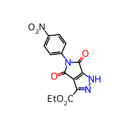 CCOC(=O)c1n[nH]c2c1C(=O)N(c1ccc([N+](=O)[O-])cc1)C2=O